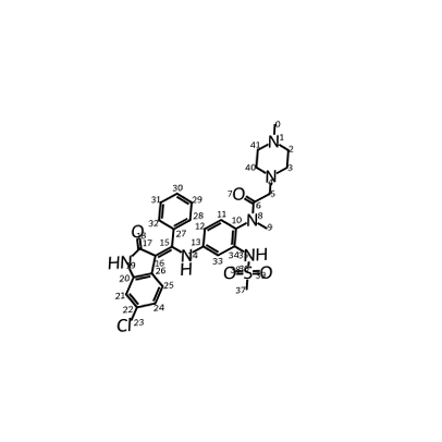 CN1CCN(CC(=O)N(C)c2ccc(NC(=C3C(=O)Nc4cc(Cl)ccc43)c3ccccc3)cc2NS(C)(=O)=O)CC1